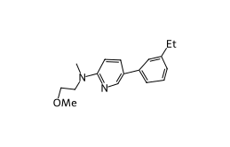 CCc1cccc(-c2ccc(N(C)CCOC)nc2)c1